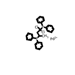 CC(CC(Cl)(Cl)P(c1ccccc1)c1ccccc1)P(c1ccccc1)c1ccccc1.[Pd+2]